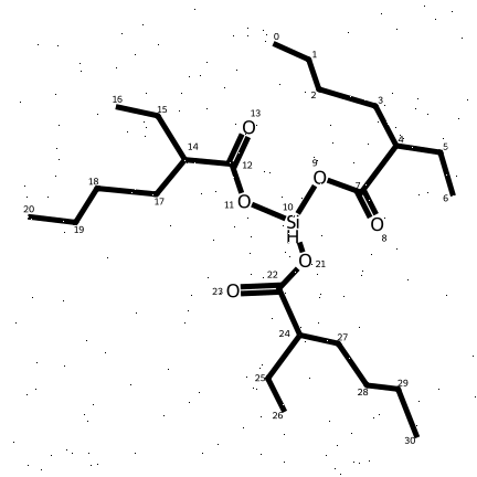 CCCCC(CC)C(=O)O[SiH](OC(=O)C(CC)CCCC)OC(=O)C(CC)CCCC